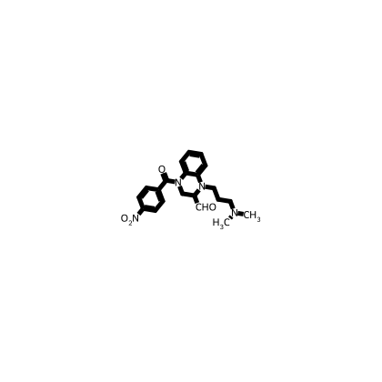 CN(C)CCCN1c2ccccc2N(C(=O)c2ccc([N+](=O)[O-])cc2)CC1C=O